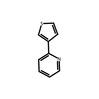 [c]1cscc1-c1ccccn1